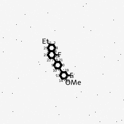 CCc1ccc2c(F)c(-c3ccc(-c4ccc(OC)c(F)c4)cc3)ccc2c1